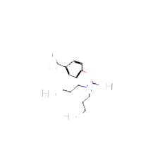 [CH2]C(=O)c1ccc(OC(C)N(CCCC)CCCC)cc1